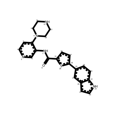 O=C(Nc1cnccc1N1CCNCC1)c1ccc(-c2ccc3[nH]ccc3c2)s1